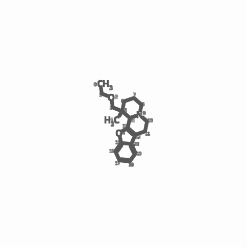 CCOCC1(C)CCCN2CCc3c(oc4ccccc34)C21